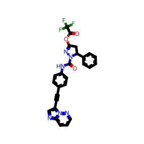 O=C(Nc1ccc(C#Cc2cnc3cccnn23)cc1)N1N=C(OC(=O)C(F)(F)F)CC1c1ccccc1